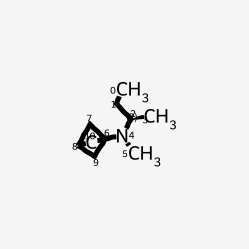 CC[C@@H](C)N(C)C12CC(C1)C2